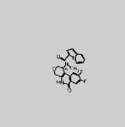 CN(C(=O)c1ccc2ccccn12)[C@@H]1COCc2[nH]c(=O)c3cc(F)c(F)cc3c21